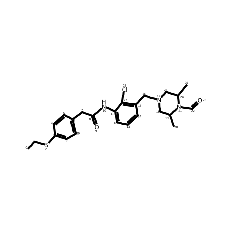 CCSc1ccc(CC(=O)Nc2cccc(CN3CC(C)N(C=O)C(C)C3)c2Cl)cc1